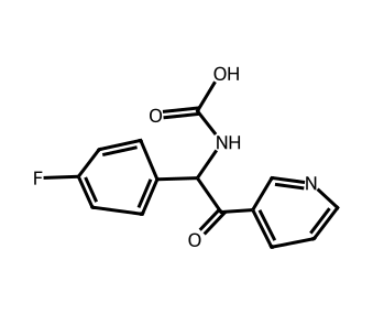 O=C(O)NC(C(=O)c1cccnc1)c1ccc(F)cc1